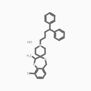 CC1Oc2c(Cl)cccc2COC12CCN(CCCC(c1ccccc1)c1ccccc1)CC2.Cl